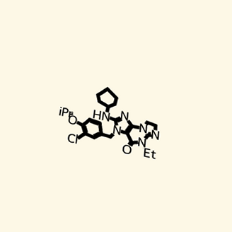 CCN1C(=O)c2c(nc(NC3CCCCC3)n2Cc2ccc(OC(C)C)c(Cl)c2)N2CCN=C12